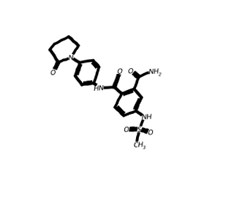 CS(=O)(=O)Nc1ccc(C(=O)Nc2ccc(N3CCCCC3=O)cc2)c(C(N)=O)c1